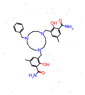 Cc1cc(CN2CCCN(Cc3ccccc3)CCCN(Cc3cc(C)cc(C(N)=O)c3O)CCC2)c(O)c(C(N)=O)c1